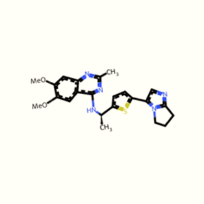 COc1cc2nc(C)nc(N[C@H](C)c3ccc(-c4cnc5n4CCC5)s3)c2cc1OC